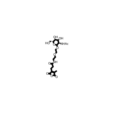 CC(=O)N[C@H]1C(OCCOCCNC(=O)CCC2=C(C)C(=O)OC2=O)O[C@H](CO)[C@H](O)C1O